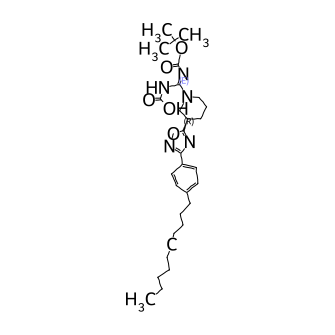 CCCCCCCCCCc1ccc(-c2noc([C@@H]3CCCN(/C(=N/C(=O)OC(C)(C)C)NC(=O)O)C3)n2)cc1